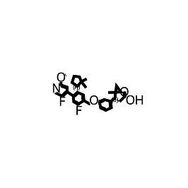 COc1cc(-c2cc(F)c(COc3cccc([C@@H](CC(=O)O)C4(C)CC4)c3)cc2[C@@H]2CCCC2(C)C)c(F)cn1